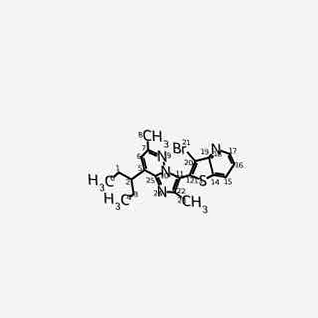 CCC(CC)c1cc(C)nn2c(-c3sc4cccnc4c3Br)c(C)nc12